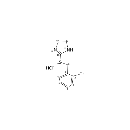 Cl.Fc1ccccc1CSC1=NCCN1